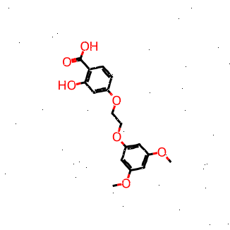 COc1cc(OC)cc(OCCOc2ccc(C(=O)O)c(O)c2)c1